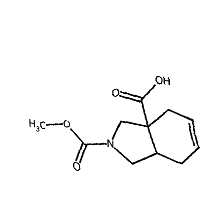 COC(=O)N1CC2CC=CCC2(C(=O)O)C1